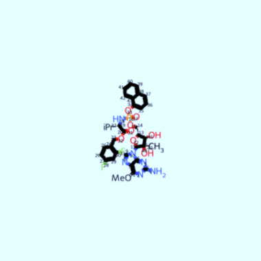 COc1nc(N)nc2c1ncn2C1O[C@H](COP(=O)(N[C@H](C(=O)OCc2ccc(F)cc2F)C(C)C)Oc2cccc3ccccc23)[C@@H](O)[C@@]1(C)O